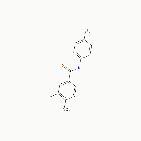 Cc1cc(C(=S)Nc2ccc(C(F)(F)F)cc2)ccc1[N+](=O)[O-]